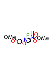 COC(=O)C(=O)Nc1ccc(OC2CCC(C(=O)OC)CC2)nc1F